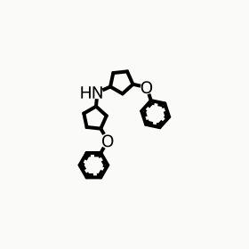 c1ccc(OC2CCC(NC3CCC(Oc4ccccc4)C3)C2)cc1